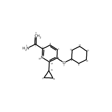 C=C(N)c1ccc(OC2CCCCC2)c(C2CC2)n1